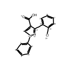 O=C(O)c1cn(-c2ccccc2)nc1-c1ccccc1Cl